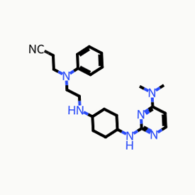 CN(C)c1ccnc(NC2CCC(NCCN(CCC#N)c3ccccc3)CC2)n1